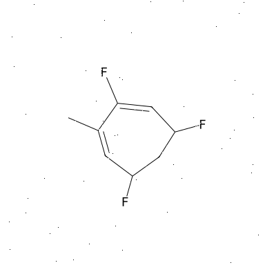 CC1=CC(F)CC(F)C=C1F